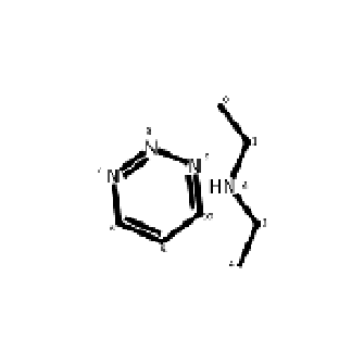 CCNCC.c1cnnnc1